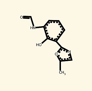 Cc1cnc(-c2cccc(NC=O)c2O)o1